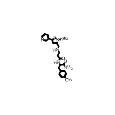 CCCCn1nc(-c2cccnc2)cc1CNCCC(=O)NC(Cc1ccc(O)cc1)C(N)=O